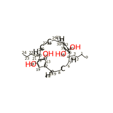 CCCC[C@H]1CCCCC[C@@H](C)c2cc(O)c(c(O)c2)[C@@H](CCCC)CCCCC[C@@H](C)c2cc(O)c1c(O)c2